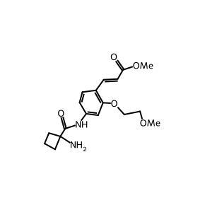 COCCOc1cc(NC(=O)C2(N)CCC2)ccc1/C=C/C(=O)OC